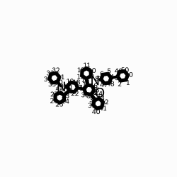 c1ccc(-c2ccc(-n3c4ccccc4c4c(-c5ccc6c(c5)c5ccccc5n6-c5ccccc5)cc5c6ccccc6oc5c43)cc2)cc1